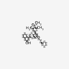 C=CC(=O)N1[C@H](C)CN(c2nc(OCCCN3CCCCC3)nc3c2CCN(c2cc(O)cc4ccccc24)C3)C[C@@H]1C